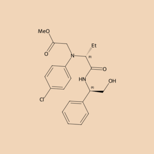 CC[C@H](C(=O)N[C@@H](CO)c1ccccc1)N(CC(=O)OC)c1ccc(Cl)cc1